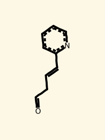 O=CC/C=C/c1ccccn1